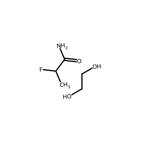 CC(F)C(N)=O.OCCO